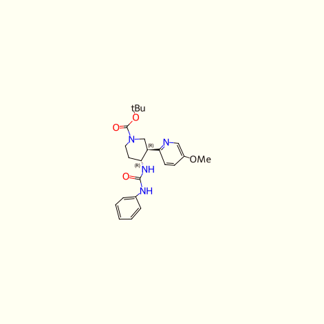 COc1ccc([C@@H]2CN(C(=O)OC(C)(C)C)CC[C@H]2NC(=O)Nc2ccccc2)nc1